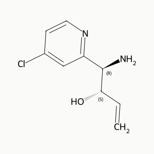 C=C[C@H](O)[C@H](N)c1cc(Cl)ccn1